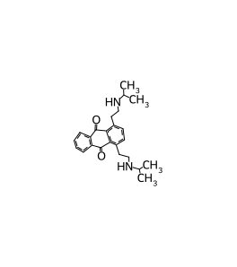 CC(C)NCCc1ccc(CCNC(C)C)c2c1C(=O)c1ccccc1C2=O